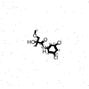 COCC(C)(O)C(=O)Nc1cc(Cl)cc(Cl)c1